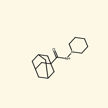 O=C(NN1CCCCC1)C12CC3CC(CC(C3)C1)C2